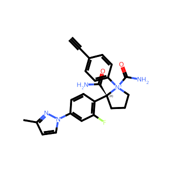 C#Cc1ccc([N+]2(C(N)=O)CCC[C@]2(C(N)=O)c2ccc(-n3ccc(C)n3)cc2F)cc1